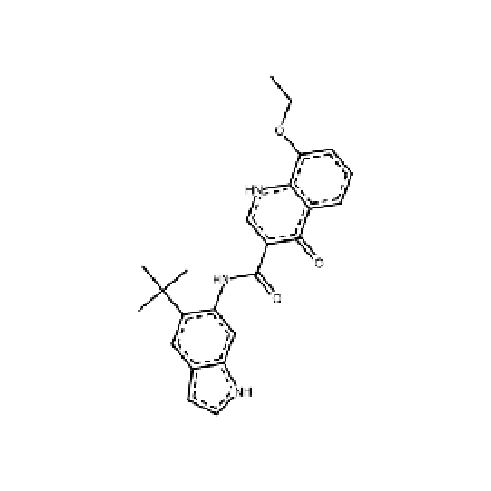 CCOc1cccc2c(=O)c(C(=O)Nc3cc4[nH]ccc4cc3C(C)(C)C)c[nH]c12